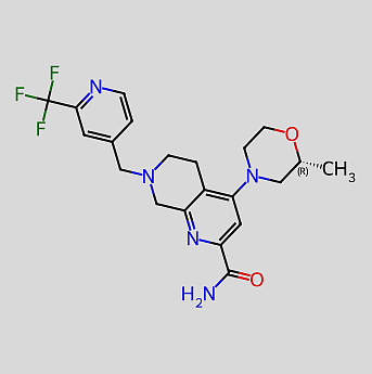 C[C@@H]1CN(c2cc(C(N)=O)nc3c2CCN(Cc2ccnc(C(F)(F)F)c2)C3)CCO1